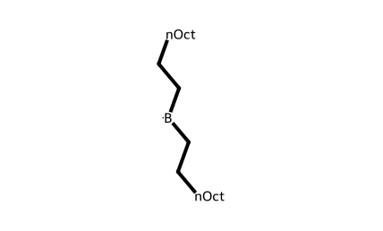 CCCCCCCCCC[B]CCCCCCCCCC